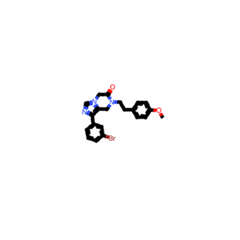 COc1ccc(CCN2Cc3c(-c4cccc(Br)c4)ncn3CC2=O)cc1